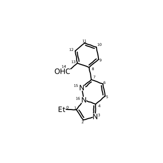 CCc1cnc2ccc(-c3ccccc3C=O)nn12